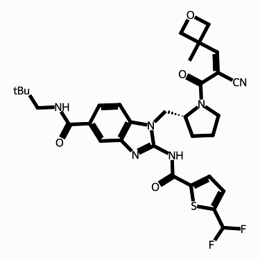 CC(C)(C)CNC(=O)c1ccc2c(c1)nc(NC(=O)c1ccc(C(F)F)s1)n2C[C@H]1CCCN1C(=O)/C(C#N)=C\C1(C)COC1